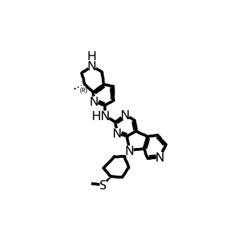 CS[C@H]1CC[C@H](n2c3cnccc3c3cnc(Nc4ccc5c(n4)[C@H](C)CNC5)nc32)CC1